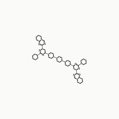 c1ccc(-c2nc(-c3ccc(-c4ccc(-c5ccc(-c6cc(-c7ncc8ccccc8n7)nc(-c7ccccc7)n6)cc5)cc4)cc3)cc(-c3ncc4ccccc4n3)n2)cc1